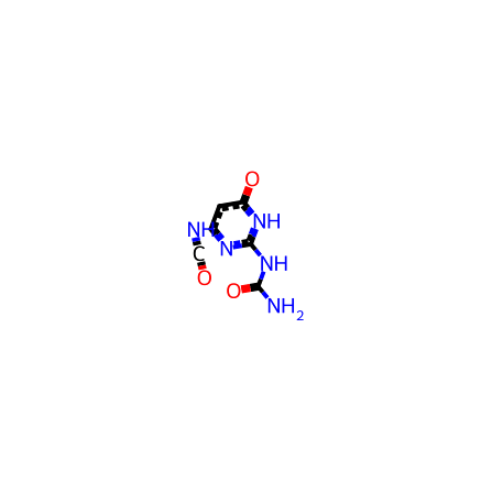 N=C=O.NC(=O)Nc1nccc(=O)[nH]1